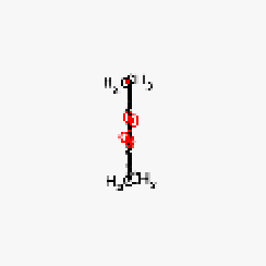 CC(C)CCCCCCCCCOC(=O)CCCCC(=O)OCCCCCCCCCC(C)C